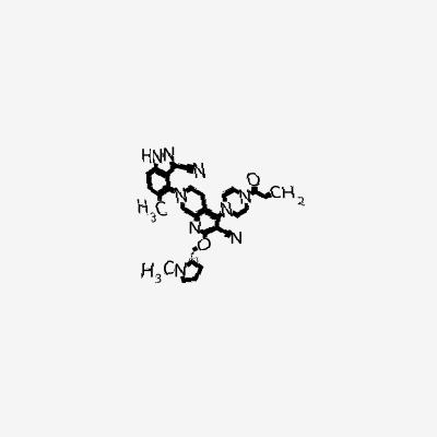 C=CC(=O)N1CCN(c2c(C#N)c(OC[C@@H]3CCCN3C)nc3c2CCN(c2c(C)ccc4[nH]nc(C#N)c24)C3)CC1